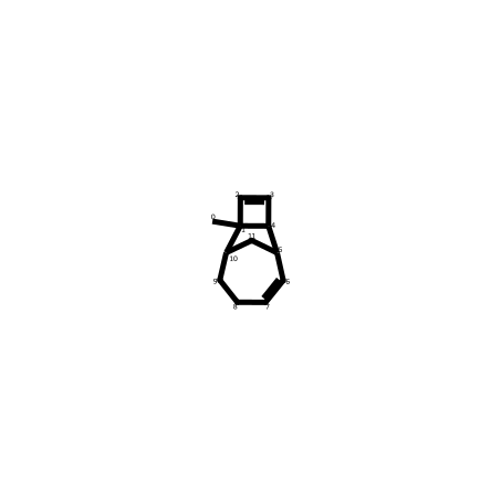 CC12C=CC1C1C=CCCC2C1